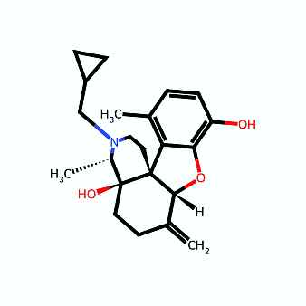 C=C1CC[C@]2(O)[C@H](C)N(CC3CC3)CC[C@]23c2c(C)ccc(O)c2O[C@H]13